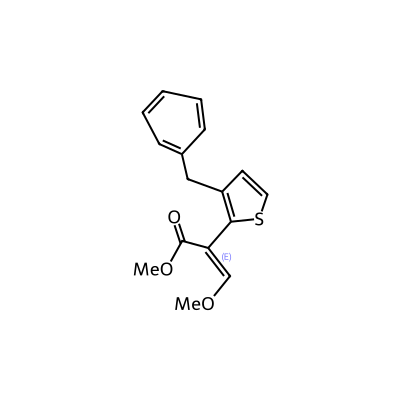 CO/C=C(\C(=O)OC)c1sccc1Cc1ccccc1